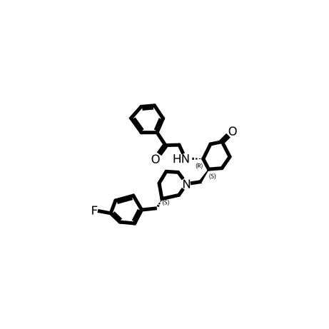 O=C1CC[C@@H](CN2CCC[C@@H](Cc3ccc(F)cc3)C2)[C@H](NCC(=O)c2ccccc2)C1